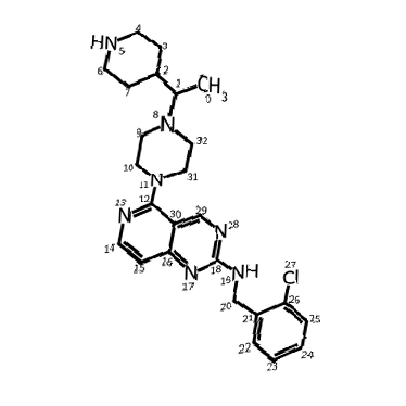 CC(C1CCNCC1)N1CCN(c2nccc3nc(NCc4ccccc4Cl)ncc23)CC1